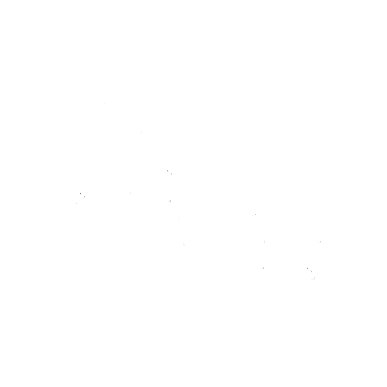 O=[N+]([O-])c1cc(Cl)cc2nc(-c3[c]ccc(Sc4ccncc4)c3)oc12